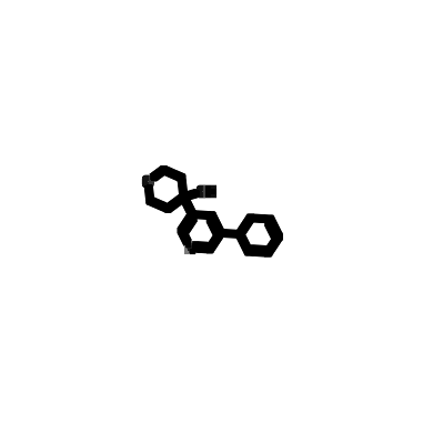 OC1(c2cncc(C3C=CC=CC3)c2)CCOCC1